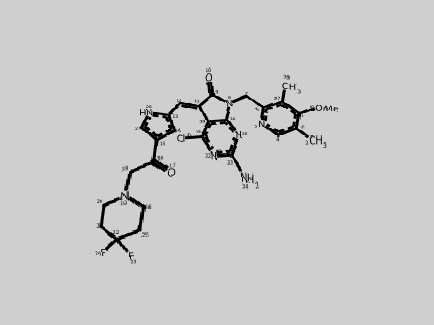 COc1c(C)cnc(CN2C(=O)/C(=C/c3cc(C(=O)CN4CCC(F)(F)CC4)c[nH]3)c3c(Cl)nc(N)nc32)c1C